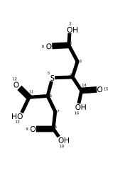 O=C(O)CC(SC(CC(=O)O)C(=O)O)C(=O)O